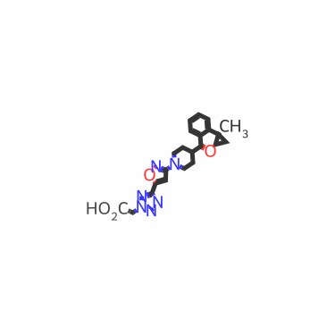 CC1(c2ccccc2C(=O)C2CCN(c3cc(-c4nnn(CC(=O)O)n4)on3)CC2)CC1